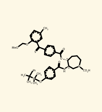 COCOc1ccc(C)cc1C(=S)c1ccc(C(=O)O[C@@H]2CCCN(C(=O)O)C[C@H]2NC(=O)c2ccc(O[Si](C)(C)C(C)(C)C(C)C)cc2)cc1